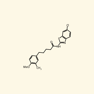 COc1ccc(CCCCC(=O)Nc2nc3ccc(Cl)cc3s2)cc1C